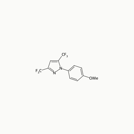 COc1ccc(-n2nc(C(F)(F)F)cc2C(F)(F)F)cc1